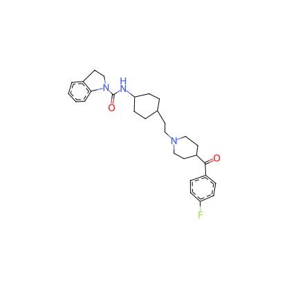 O=C(c1ccc(F)cc1)C1CCN(CCC2CCC(NC(=O)N3CCc4ccccc43)CC2)CC1